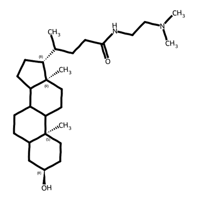 CC(CCC(=O)NCCN(C)C)[C@H]1CCC2C3CCC4C[C@H](O)CC[C@]4(C)C3CC[C@@]21C